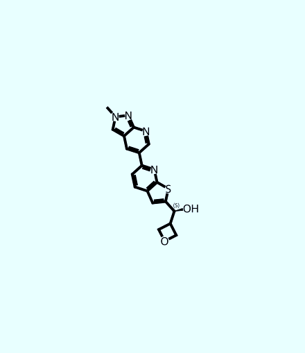 Cn1cc2cc(-c3ccc4cc([C@@H](O)C5COC5)sc4n3)cnc2n1